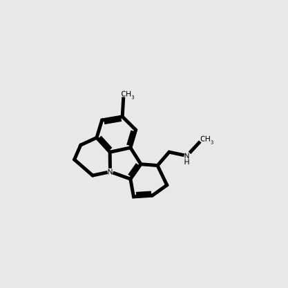 CNCC1CC=Cc2c1c1cc(C)cc3c1n2CCC3